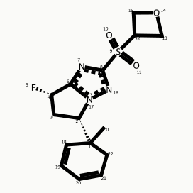 CC1([C@@H]2C[C@H](F)c3nc(S(=O)(=O)C4COC4)nn32)C=CC=CC1